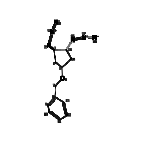 [N-]=[N+]=N[C@@H]1CC(OCc2ccccc2)C[C@H]1N=[N+]=[N-]